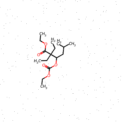 CCOC(=O)OC(CC(C)C)C(CC)(CC)C(=O)OCC